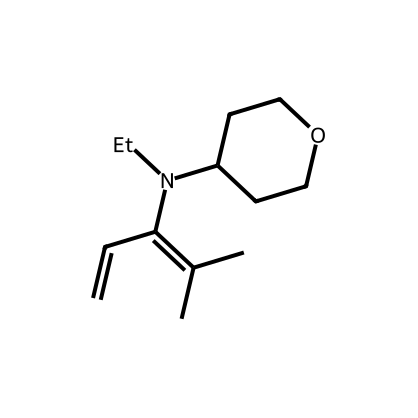 C=CC(=C(C)C)N(CC)C1CCOCC1